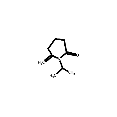 C=C1CCCC(=O)N1C(C)C